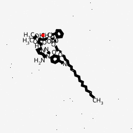 CCCCCCCCCCCCCCCCCCOC[C@H](COP(=O)(OC[C@@]1(C)O[C@@H](c2ccc3c(N)ncnn23)[C@@H]2OC(C)(C)O[C@@H]21)Oc1ccccc1Cl)Oc1cccc(C#N)c1